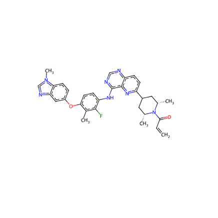 C=CC(=O)N1[C@H](C)CC(c2ccc3ncnc(Nc4ccc(Oc5ccc6c(c5)ncn6C)c(C)c4F)c3n2)C[C@@H]1C